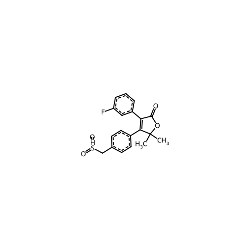 CC1(C)OC(=O)C(c2cccc(F)c2)=C1c1ccc(C[SH](=O)=O)cc1